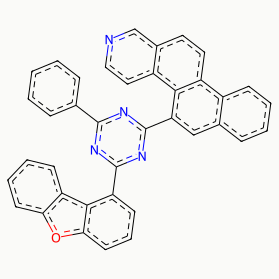 c1ccc(-c2nc(-c3cccc4oc5ccccc5c34)nc(-c3cc4ccccc4c4ccc5cnccc5c34)n2)cc1